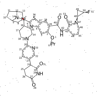 CC(C)Oc1cc2nc(N3CC4CCC(C3)N4CC3CCN(c4ccc(C5CCC(=O)NC5=O)cn4)CC3)sc2cc1C(=O)Nc1cccn([C@H]2C[C@H]2F)c1=O